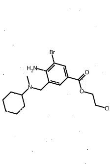 CN(Cc1cc(C(=O)OCCCl)cc(Br)c1N)C1CCCCC1